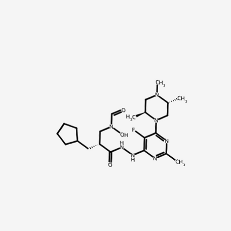 Cc1nc(NNC(=O)[C@H](CC2CCCC2)CN(O)C=O)c(F)c(N2C[C@@H](C)N(C)C[C@@H]2C)n1